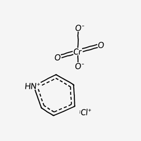 [Cl+].[O]=[Cr](=[O])([O-])[O-].c1cc[nH+]cc1